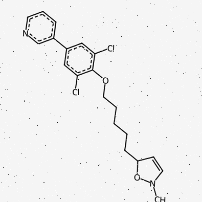 CN1C=CC(CCCCCOc2c(Cl)cc(-c3cccnc3)cc2Cl)O1